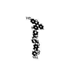 O=C1CC[C@@H](N2Cc3cc4c(cc3C2=O)OC[C@H]2CN(C[C@@H]3COC5(CCN(c6ccc([C@H]7c8ccc(O)cc8OC[C@H]7c7ccccc7)cc6F)CC5)C3)CCN42)C(=O)N1